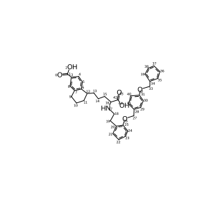 O=C(O)c1ccc2c(c1)CCCC2CCCC(NCCc1ccccc1OCc1ccc(OCc2ccccc2)cc1)C(=O)O